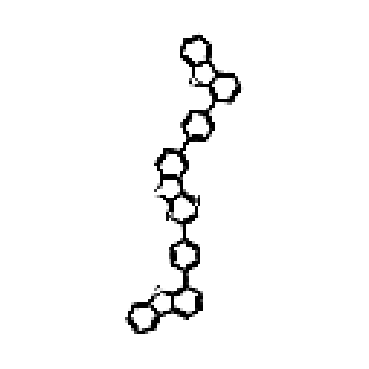 c1ccc2c(c1)oc1c(-c3ccc(-c4ccc5sc6nc(-c7ccc(-c8cccc9c8sc8ccccc89)cc7)cnc6c5c4)cc3)cccc12